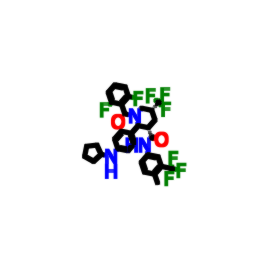 Cc1ccc(NC(=O)[C@H]2C[C@@H](C(F)(F)F)CN(C(=O)c3c(F)cccc3F)C2c2ccc(NC3CCCC3)cc2)cc1C(F)(F)F